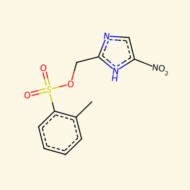 Cc1ccccc1S(=O)(=O)OCc1ncc([N+](=O)[O-])[nH]1